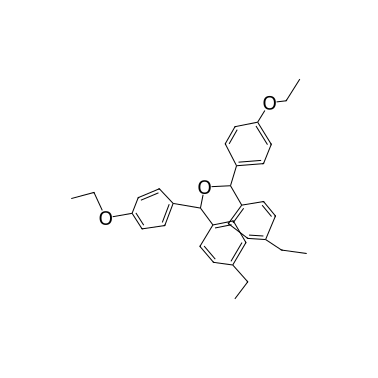 CCOc1ccc(C(OC(c2ccc(CC)cc2)c2ccc(OCC)cc2)c2ccc(CC)cc2)cc1